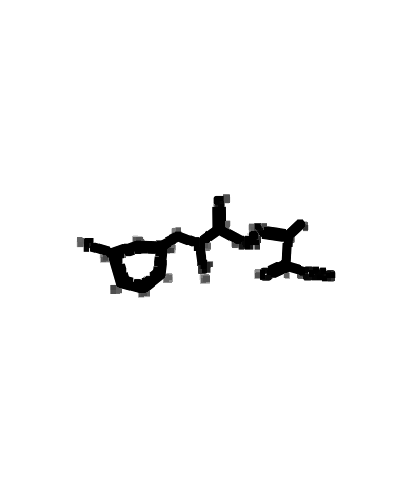 COC(=O)C(C)=NNC(=S)N(Br)Cc1cccc(F)c1